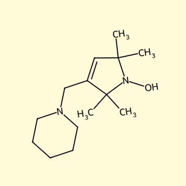 CC1(C)C=C(CN2CCCCC2)C(C)(C)N1O